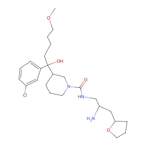 COCCCCC(O)(c1cccc(Cl)c1)C1CCCN(C(=O)NCC(N)CC2CCCO2)C1